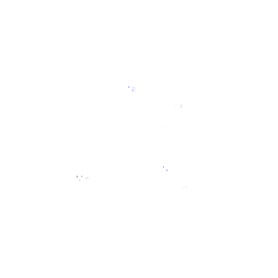 COC1C=CC(N)=CC1=CN(C(=O)OC(C)(C)C)C(C)C